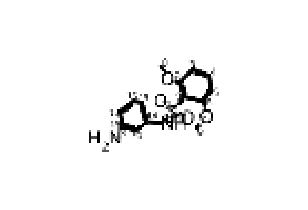 COc1cccc(OC)c1S(=O)(=O)Nc1cccc(N)c1